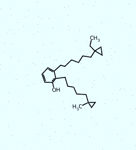 CCC1(CCCCCCc2cccc(O)c2CCCCCC2(C)CC2)CC1